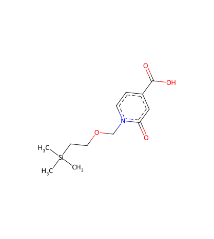 C[Si](C)(C)CCOCn1ccc(C(=O)O)cc1=O